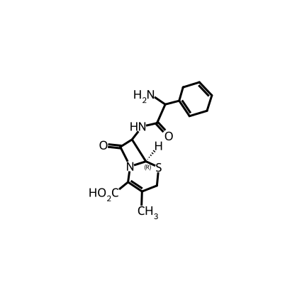 CC1=C(C(=O)O)N2C(=O)C(NC(=O)C(N)C3=CCC=CC3)[C@H]2SC1